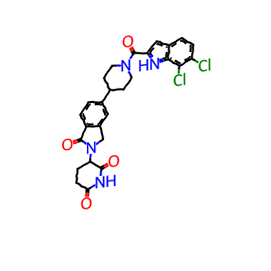 O=C1CCC(N2Cc3cc(C4CCN(C(=O)c5cc6ccc(Cl)c(Cl)c6[nH]5)CC4)ccc3C2=O)C(=O)N1